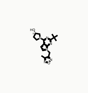 Cc1nonc1Cn1ccc2c(N3CC[C@H](O)C3)nc(C(C)(C)C)nc21